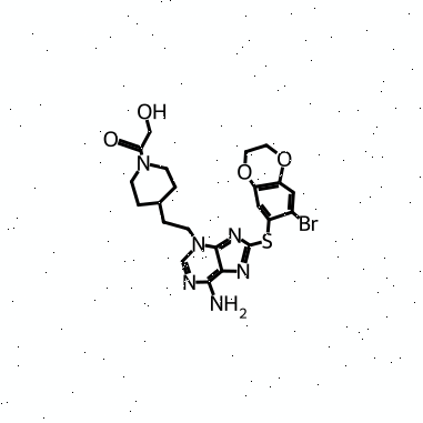 Nc1ncn(CCC2CCN(C(=O)CO)CC2)c2nc(Sc3cc4c(cc3Br)OCCO4)nc1-2